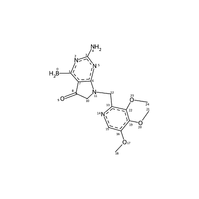 Bc1nc(N)nc2c1C(=O)CN2Cc1ncc(OC)c(OC)c1OC